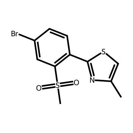 Cc1csc(-c2ccc(Br)cc2S(C)(=O)=O)n1